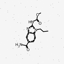 CCCn1c(NC(=O)OC)nc2cc(C(N)=O)ccc21